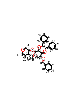 COC1C(OC)[C@H](C)O[C@H](C)C1O[C@@H]1OC[C@@H](OCc2ccccc2)C(OCc2ccccc2)C1OCc1ccccc1